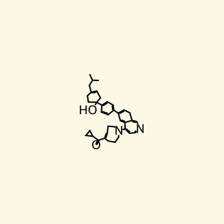 CC(C)CC1=CCC(O)(c2ccc(C3=CCC4=CN=CC=C(N5CC/C=C(\C(=O)C6CC6)CCC5)C4=C3)cc2)CC1